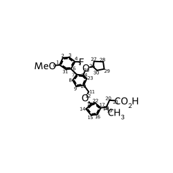 COc1ccc(F)c(-c2ccc(COc3cccc([C@@H](C)CC(=O)O)c3)cc2OC2CCCC2)c1